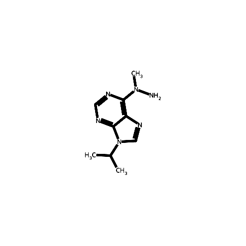 CC(C)n1cnc2c(N(C)N)ncnc21